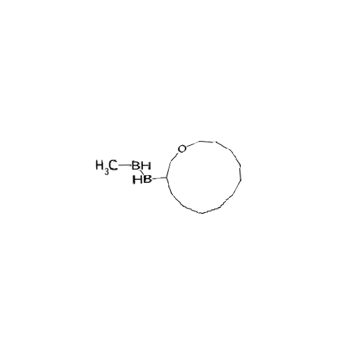 CBBC1CCCCCCCCCCOC1